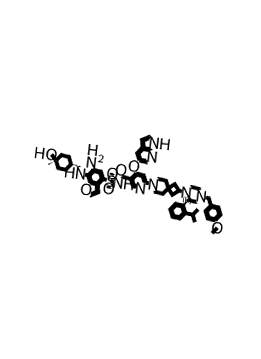 COc1ccc(CN2CCN(C3CC4(CCN(c5cc(Oc6cnc7[nH]ccc7c6)c(C(=O)NS(=O)(=O)c6cc(N)c(NC[C@H]7CC[C@](C)(O)CC7)c7occc67)cn5)CC4)C3)[C@H](c3ccccc3C(C)C)C2)cc1